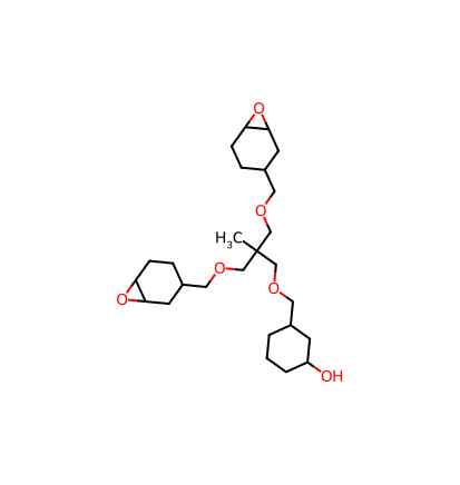 CC(COCC1CCCC(O)C1)(COCC1CCC2OC2C1)COCC1CCC2OC2C1